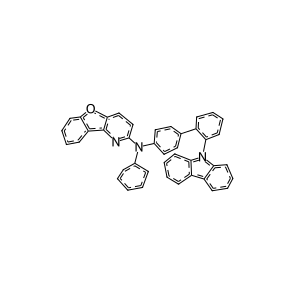 c1ccc(N(c2ccc(-c3ccccc3-n3c4ccccc4c4ccccc43)cc2)c2ccc3oc4ccccc4c3n2)cc1